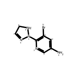 Nc1cnc(N2N=CCN2)c(Br)c1